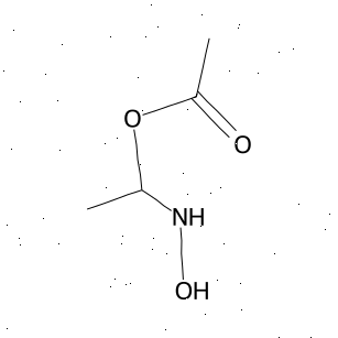 CC(=O)OC(C)NO